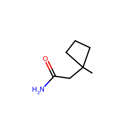 CC1(CC(N)=O)CCC1